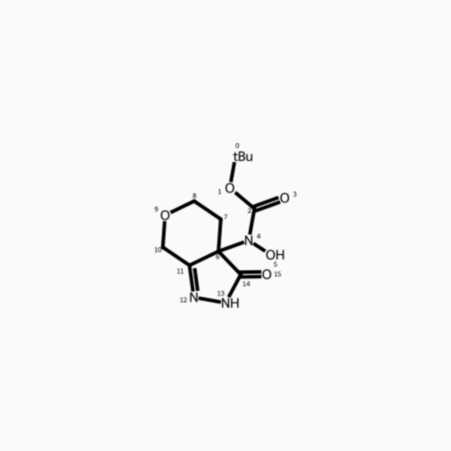 CC(C)(C)OC(=O)N(O)C12CCOCC1=NNC2=O